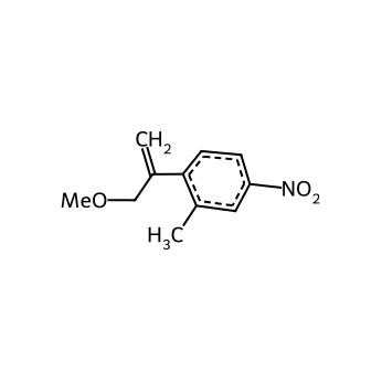 C=C(COC)c1ccc([N+](=O)[O-])cc1C